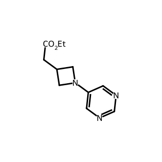 CCOC(=O)CC1CN(c2cncnc2)C1